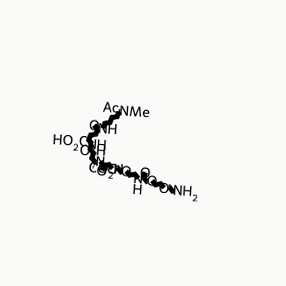 CNC(CCCCNC(=O)CC[C@H](NC(=O)CC[C@H](NC(=O)COCCOCCNC(=O)COCCOCCN)C(=O)O)C(=O)O)C(C)=O